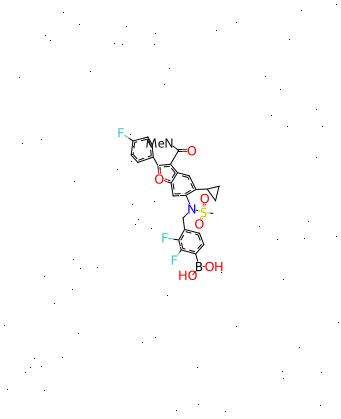 CNC(=O)c1c(-c2ccc(F)cc2)oc2cc(N(Cc3ccc(B(O)O)c(F)c3F)S(C)(=O)=O)c(C3CC3)cc12